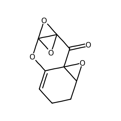 O=C1C23OC2CCC=C3OC23OC12O3